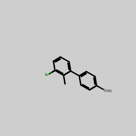 Cc1c(Br)cccc1-c1ccc(C=O)cc1